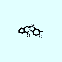 CC1=CC(=O)C(N2C(=O)Cc3ccccc3C2=O)CCC1=O